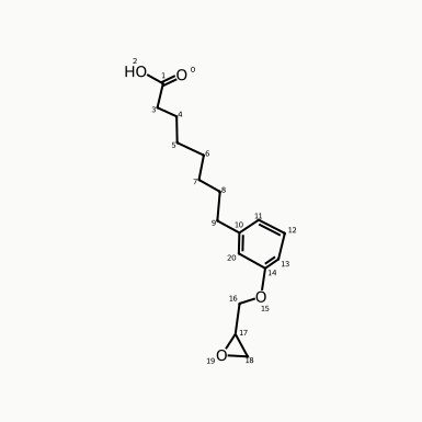 O=C(O)CCCCCCCc1cccc(OCC2CO2)c1